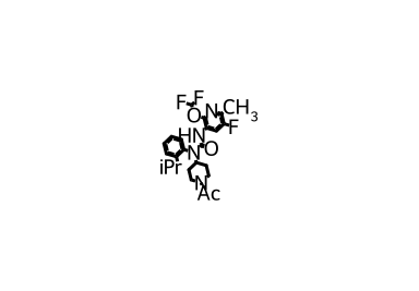 CC(=O)N1CCC(N(C(=O)Nc2cc(F)c(C)nc2OC(F)F)c2ccccc2C(C)C)CC1